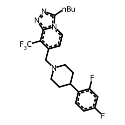 CCCCc1nnc2c(C(F)(F)F)c(CN3CCC(c4ccc(F)cc4F)CC3)ccn12